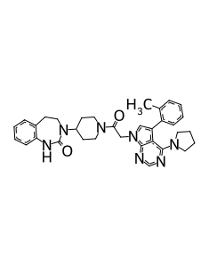 Cc1ccccc1-c1cn(CC(=O)N2CCC(N3CCc4ccccc4NC3=O)CC2)c2ncnc(N3CCCC3)c12